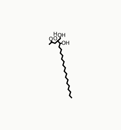 CCCCCCCCCCCCCCCCCCC(O)C(O)(CO)CC(C)=O